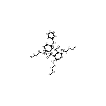 CCCCNc1ccc(SCCCC)c2c1C(=O)c1c(Sc3ccccc3)ccc(NCCCC)c1C2=O